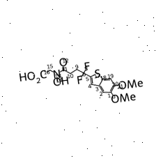 COc1cc2cc(C(F)(F)CCC(=O)N(O)CC(=O)O)sc2cc1OC